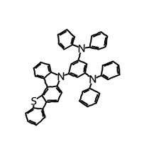 c1ccc(N(c2ccccc2)c2cc(N(c3ccccc3)c3ccccc3)cc(-n3c4ccccc4c4c5sc6ccccc6c5ccc43)c2)cc1